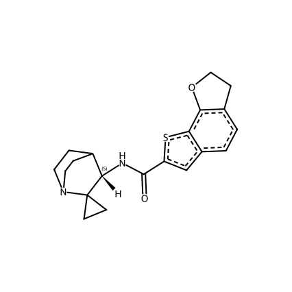 O=C(N[C@H]1C2CCN(CC2)C12CC2)c1cc2ccc3c(c2s1)OCC3